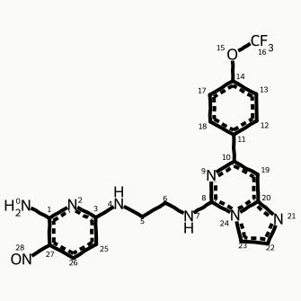 Nc1nc(NCCNc2nc(-c3ccc(OC(F)(F)F)cc3)cc3nccn23)ccc1N=O